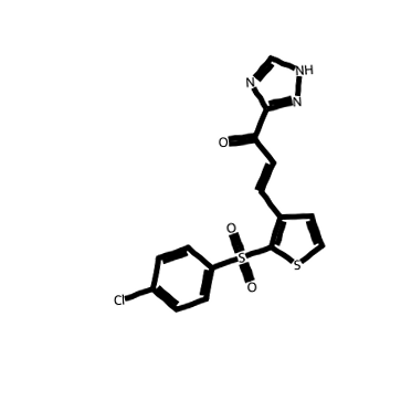 O=C(C=Cc1ccsc1S(=O)(=O)c1ccc(Cl)cc1)c1nc[nH]n1